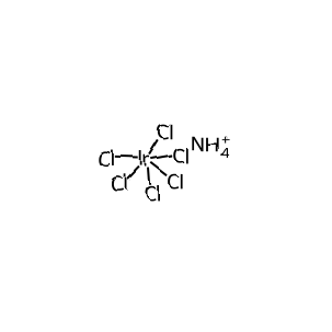 [Cl][Ir]([Cl])([Cl])([Cl])([Cl])[Cl].[NH4+]